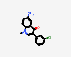 Cn1cc(-c2cccc(Cl)c2)c(=O)c2cc(N)ccc21